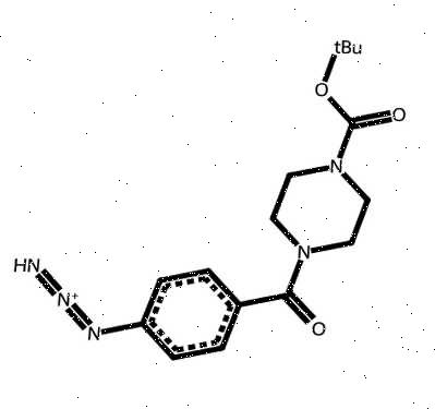 CC(C)(C)OC(=O)N1CCN(C(=O)c2ccc(N=[N+]=N)cc2)CC1